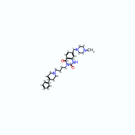 CN1CCN(Cc2ccc3c(=O)n(CCCCN4CC=C(c5ccccc5)CC4)c(=O)[nH]c3c2)CC1